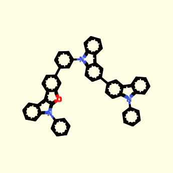 c1ccc(-n2c3ccccc3c3cc(-c4ccc5c(c4)c4ccccc4n5-c4cccc(-c5ccc6c(c5)oc5c6c6ccccc6n5-c5ccccc5)c4)ccc32)cc1